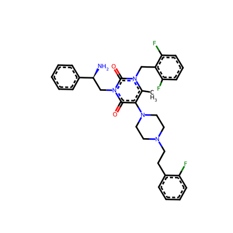 Cc1c(N2CCN(CCc3ccccc3F)CC2)c(=O)n(C[C@H](N)c2ccccc2)c(=O)n1Cc1c(F)cccc1F